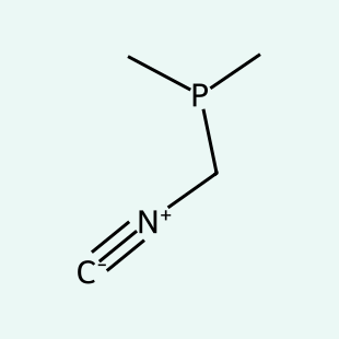 [C-]#[N+]CP(C)C